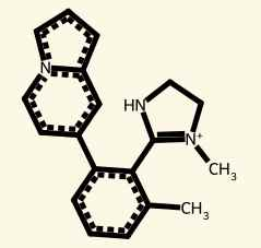 Cc1cccc(-c2ccn3cccc3c2)c1C1=[N+](C)CCN1